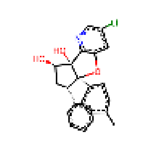 Cc1ccc([C@@]23Oc4cc(Cl)cnc4[C@]2(O)[C@H](O)C[C@H]3c2ccccc2)cc1